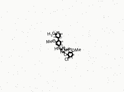 COc1ccc(Cl)c(Oc2nc(Nc3ccc(-c4ccnc(C)c4)c(OC)c3)nn2C(C)C)c1